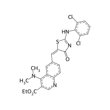 CCOC(=O)c1cnc2ccc(C=C3SC(Nc4c(Cl)cccc4Cl)=NC3=O)cc2c1N(C)C